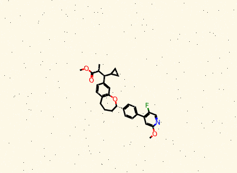 COC(=O)C(C)C(c1ccc2c(c1)O[C@H](c1ccc(-c3cc(OC)ncc3F)cc1)CCC2)C1CC1